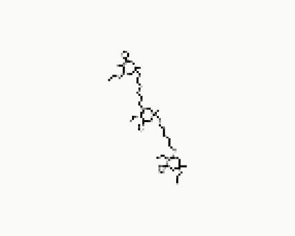 CCCC1=C(C)C(=O)CC(C)(CCCCCCC2=C(CC)C(=O)CC(C)(CCCCCCCC3=C(CC)C(=O)CC(C)(CCC)C3)C2)C1